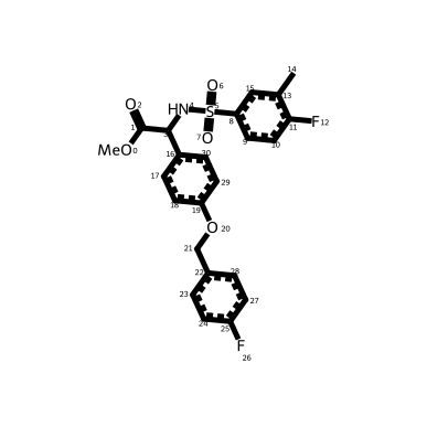 COC(=O)C(NS(=O)(=O)c1ccc(F)c(C)c1)c1ccc(OCc2ccc(F)cc2)cc1